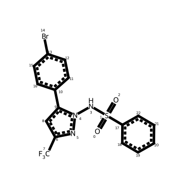 O=S(=O)(Nn1nc(C(F)(F)F)cc1-c1ccc(Br)cc1)c1ccccc1